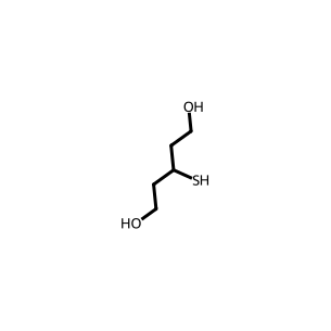 OCCC(S)CCO